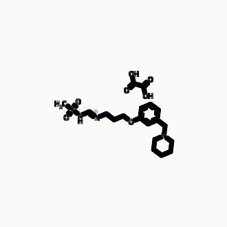 CS(=O)(=O)N/C=N/CCCOc1cccc(CN2CCCCC2)c1.O=C(O)C(=O)O